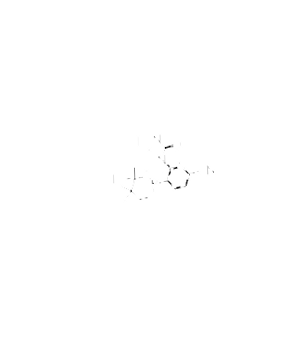 CCC1(C)OB(c2ccc(C#N)s/c2=N\C(N)=O)OCC1(C)C